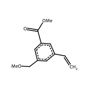 C=Cc1cc(COC)cc(C(=O)OC)c1